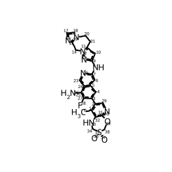 Cc1c(-c2cc3cc(Nc4cc5n(n4)Cc4nccn4CC5)ncc3c(N)c2F)cnc2c1NCS(=O)(=O)CO2